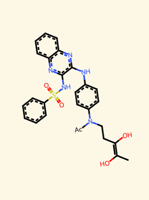 CC(=O)N(CC/C(O)=C(/C)O)c1ccc(Nc2nc3ccccc3nc2NS(=O)(=O)c2ccccc2)cc1